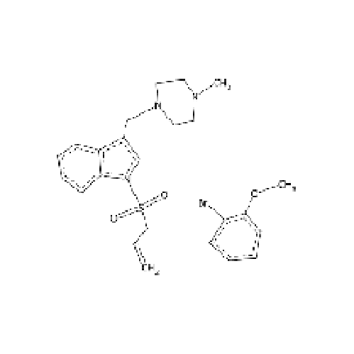 C=CCS(=O)(=O)n1cc(CN2CCN(C)CC2)c2ccccc21.COc1ccccc1Br